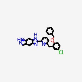 Clc1ccc(OCc2ccccc2)c(Cc2cccc(-c3nc4cc5cn[nH]c5cc4[nH]3)n2)c1